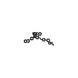 Cc1ccccc1-c1c(CCc2ccc(C3=CC(C)CC=C3)cc2)ccc2c1c1ccccc1n2-c1ccc(-c2ccc3ccccc3c2)cc1